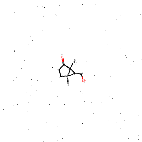 O=C1CC[C@H]2[C@H](CO)[C@@H]12